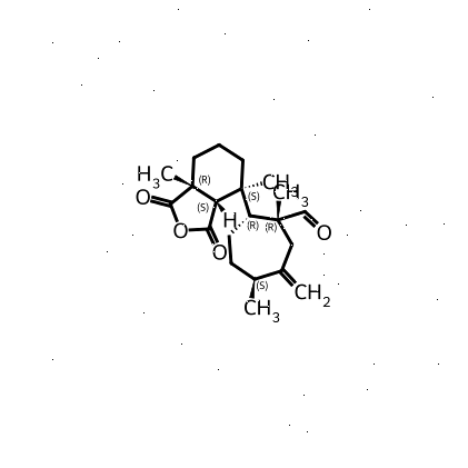 C=C1C[C@@](C)(C=O)[C@@H]([C@]2(C)CCC[C@@]3(C)C(=O)OC(=O)[C@@H]23)CC[C@@H]1C